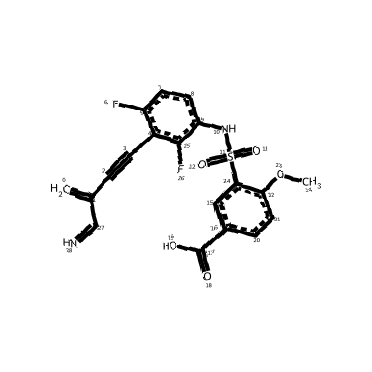 C=C(C#Cc1c(F)ccc(NS(=O)(=O)c2cc(C(=O)O)ccc2OC)c1F)C=N